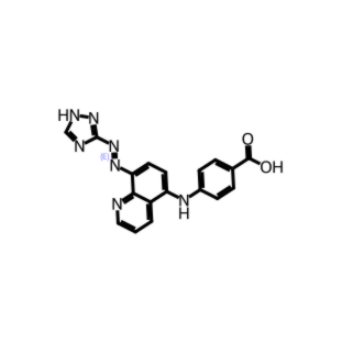 O=C(O)c1ccc(Nc2ccc(/N=N/c3nc[nH]n3)c3ncccc23)cc1